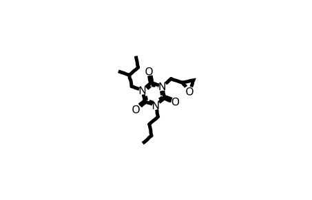 CCCCn1c(=O)n(CC(C)CC)c(=O)n(CC2CO2)c1=O